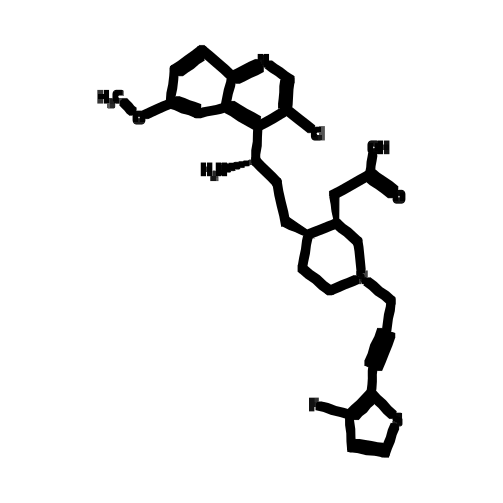 COc1ccc2ncc(Cl)c([C@@H](N)CC[C@@H]3CCN(CC#Cc4sccc4F)C[C@@H]3CC(=O)O)c2c1